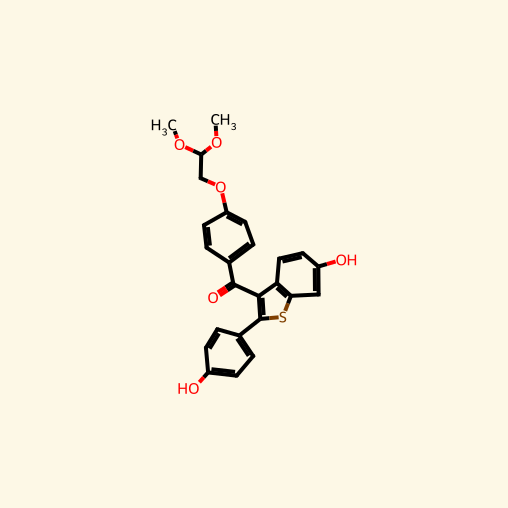 COC(COc1ccc(C(=O)c2c(-c3ccc(O)cc3)sc3cc(O)ccc23)cc1)OC